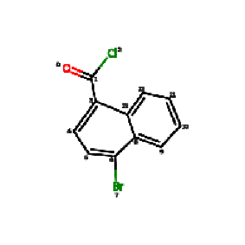 O=C(Cl)c1ccc(Br)c2ccccc12